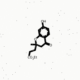 CCOC(=O)CCC1(C)CC(=O)c2ccc(O)cc2O1